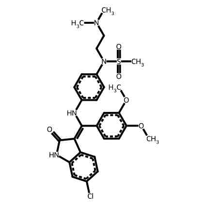 COc1ccc(/C(Nc2ccc(N(CCN(C)C)S(C)(=O)=O)cc2)=C2/C(=O)Nc3cc(Cl)ccc32)cc1OC